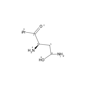 CC(C)C(=O)[C@H](N)CC(N)O